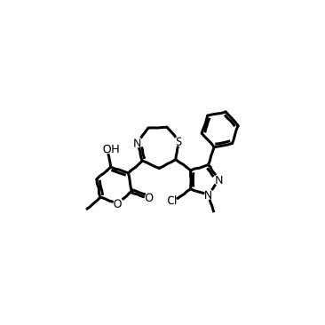 Cc1cc(O)c(C2=NCCSC(c3c(-c4ccccc4)nn(C)c3Cl)C2)c(=O)o1